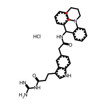 Cl.N=C(N)NC(=O)CCc1c[nH]c2ccc(CC(=O)NC(c3ccccc3)c3ccccc3N3CCCCC3)cc12